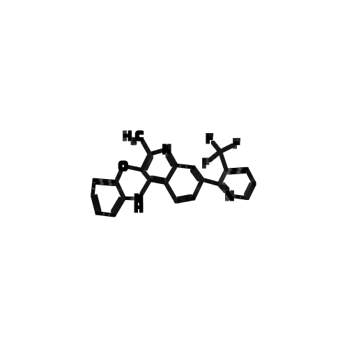 Cc1nc2cc(-c3ncccc3C(F)(F)F)ccc2c2c1Oc1ccccc1N2